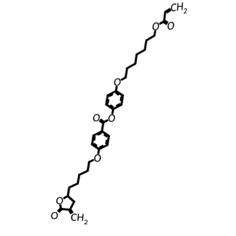 C=CC(=O)OCCCCCCCOc1ccc(OC(=O)c2ccc(OCCCCCC3CC(=C)C(=O)O3)cc2)cc1